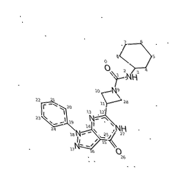 O=C(NC1CCCCC1)N1CC(c2nc3c(cnn3-c3ccccc3)c(=O)[nH]2)C1